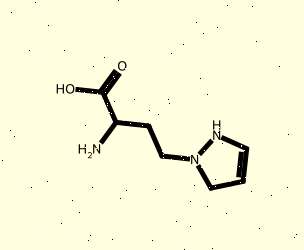 NC(CCN1CC=CN1)C(=O)O